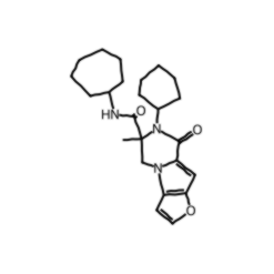 CC1(C(=O)NC2CCCCCC2)Cn2c(cc3occc32)C(=O)N1C1CCCCC1